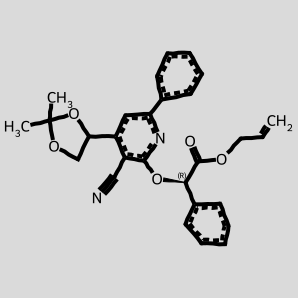 C=CCOC(=O)[C@H](Oc1nc(-c2ccccc2)cc(C2COC(C)(C)O2)c1C#N)c1ccccc1